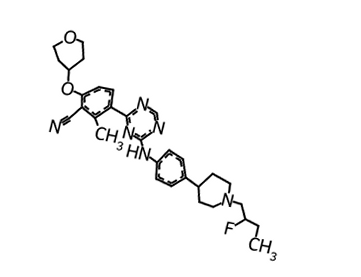 CCC(F)CN1CCC(c2ccc(Nc3ncnc(-c4ccc(OC5CCOCC5)c(C#N)c4C)n3)cc2)CC1